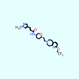 Cn1cc(/C=C/C(=O)N[C@H]2CC[C@H](CCN3CCc4ccc(OCC(F)(F)F)nc4CC3)OC2)cn1